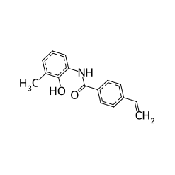 C=Cc1ccc(C(=O)Nc2cccc(C)c2O)cc1